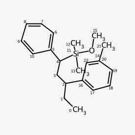 CCC(CC(c1ccccc1)[Si](C)(C)OC)c1cccc(C)c1